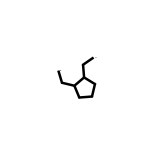 [CH2]CC1CCCC1C[CH2]